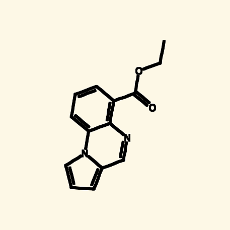 CCOC(=O)c1cccc2c1ncc1cccn12